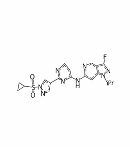 CC(C)n1nc(F)c2cnc(Nc3ccnc(-c4cnn(S(=O)(=O)C5CC5)c4)n3)cc21